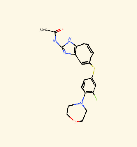 COC(=O)Nc1nc2cc(Sc3ccc(N4CCOCC4)c(F)c3)ccc2[nH]1